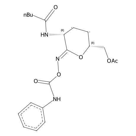 CCCCC(=O)N[C@@H]1[CH][CH][C@H](COC(C)=O)OC1=NOC(=O)Nc1ccccc1